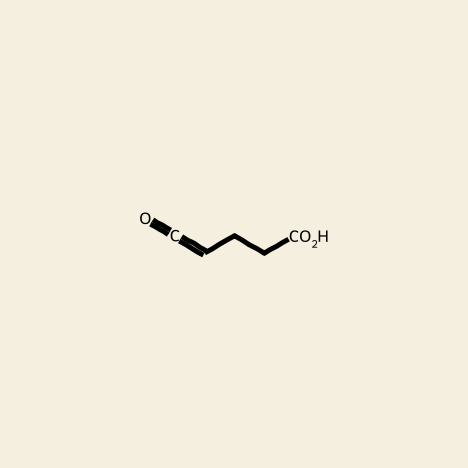 O=C=CCCC(=O)O